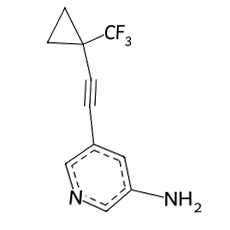 Nc1cncc(C#CC2(C(F)(F)F)CC2)c1